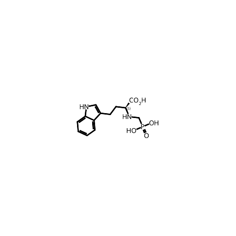 O=C(O)[C@H](CCc1c[nH]c2ccccc12)NCP(=O)(O)O